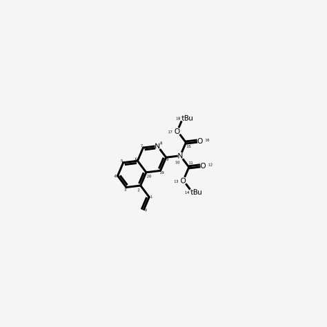 C=Cc1cccc2cnc(N(C(=O)OC(C)(C)C)C(=O)OC(C)(C)C)cc12